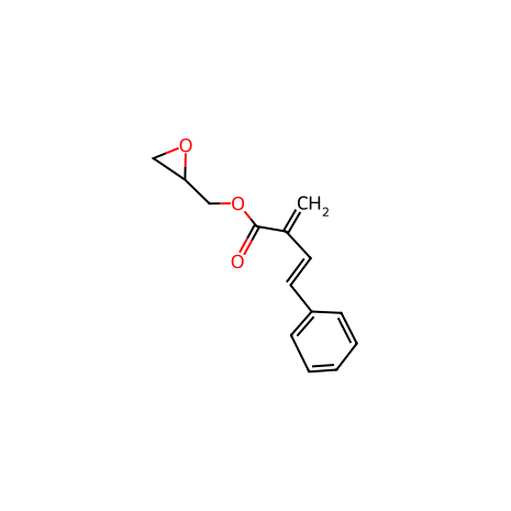 C=C(C=Cc1ccccc1)C(=O)OCC1CO1